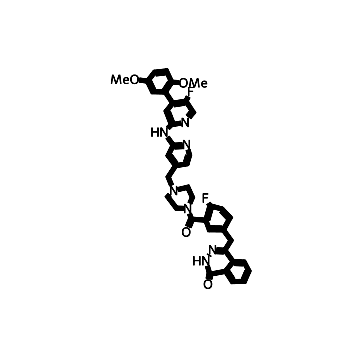 COc1ccc(OC)c(-c2cc(Nc3cc(CN4CCN(C(=O)c5cc(Cc6n[nH]c(=O)c7ccccc67)ccc5F)CC4)ccn3)ncc2F)c1